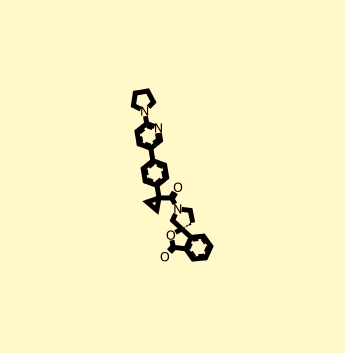 O=C1O[C@]2(CCN(C(=O)C3(c4ccc(-c5ccc(N6CCCC6)nc5)cc4)CC3)C2)c2ccccc21